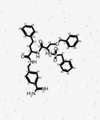 N=C(N)c1ccc(CNC(=O)C(CCc2ccccc2)NC(=O)C(COCc2ccccc2)NS(=O)(=O)Cc2ccccc2)cc1